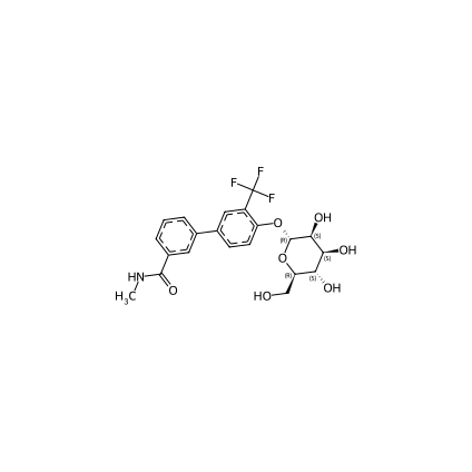 CNC(=O)c1cccc(-c2ccc(O[C@H]3O[C@H](CO)[C@@H](O)[C@H](O)[C@@H]3O)c(C(F)(F)F)c2)c1